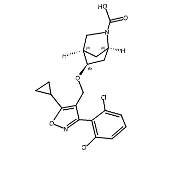 O=C(O)N1C[C@H]2C[C@@H]1C[C@H]2OCc1c(-c2c(Cl)cccc2Cl)noc1C1CC1